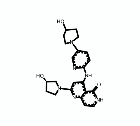 O=c1[nH]ccc2nc(N3CC[C@@H](O)C3)cc(Nc3ccc(N4CCC(O)CC4)cn3)c12